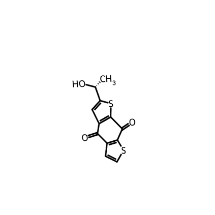 C[C@@H](O)c1cc2c(s1)C(=O)c1sccc1C2=O